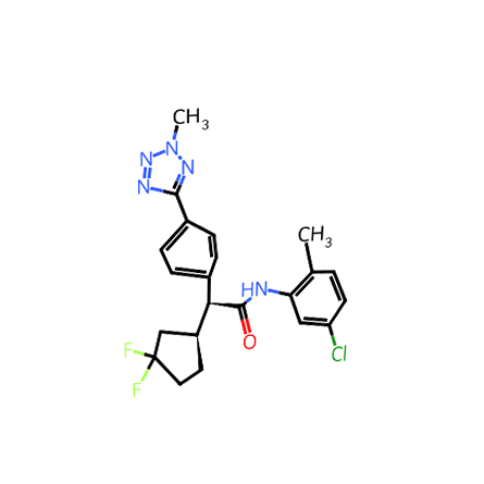 Cc1ccc(Cl)cc1NC(=O)[C@H](c1ccc(-c2nnn(C)n2)cc1)[C@H]1CCC(F)(F)C1